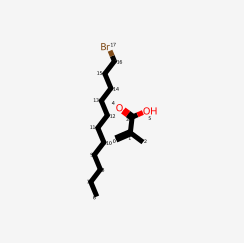 C=C(C)C(=O)O.CCCCCCCCCCCBr